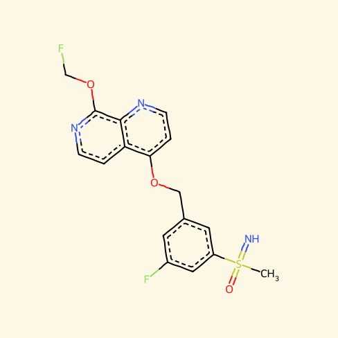 CS(=N)(=O)c1cc(F)cc(COc2ccnc3c(OCF)nccc23)c1